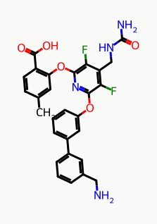 Cc1ccc(C(=O)O)c(Oc2nc(Oc3cccc(-c4cccc(CN)c4)c3)c(F)c(CNC(N)=O)c2F)c1